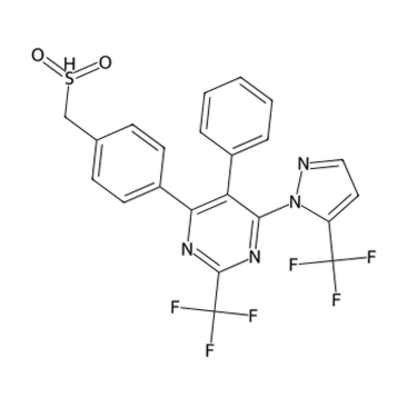 O=[SH](=O)Cc1ccc(-c2nc(C(F)(F)F)nc(-n3nccc3C(F)(F)F)c2-c2ccccc2)cc1